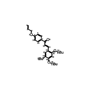 C=CCOc1ccc(C(=O)C=Cc2cc(C(C)(C)C)c(OCCCC)cc2OCCCC)cc1